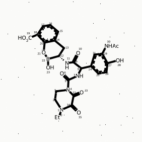 CCN1CCN(C(=O)NC(C(=O)N[C@H]2Cc3cccc(C(=O)O)c3OB2O)c2ccc(O)c(NC(C)=O)c2)C(=O)C1=O